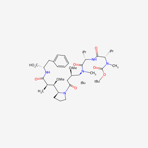 CC[C@H](C)[C@@H]([C@@H](CC(=O)N1CCC[C@H]1[C@H](OC)[C@@H](C)C(=O)N[C@@H](Cc1ccccc1)C(=O)O)OC)N(C)C(=O)[C@@H](NC(=O)[C@H](C(C)C)N(C)C(=O)OC(C)(C)C)C(C)C